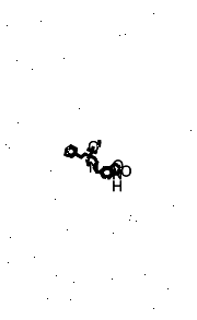 CCOC(C)(C)C1(CCc2ccccc2)CCN(Cc2ccc3c(c2)COC(=O)N3)CC1